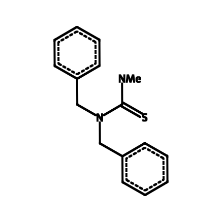 CNC(=S)N(Cc1ccccc1)Cc1ccccc1